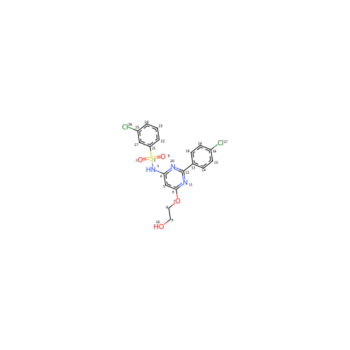 O=S(=O)(Nc1cc(OCCO)nc(-c2ccc(Cl)cc2)n1)c1cccc(Cl)c1